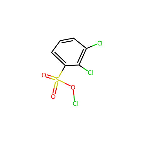 O=S(=O)(OCl)c1cccc(Cl)c1Cl